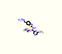 C#N.C#N.Cc1cncc(C(=O)Nc2nc3ccc(C=NN)cc3s2)n1